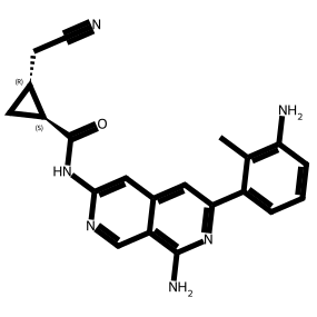 Cc1c(N)cccc1-c1cc2cc(NC(=O)[C@H]3C[C@@H]3CC#N)ncc2c(N)n1